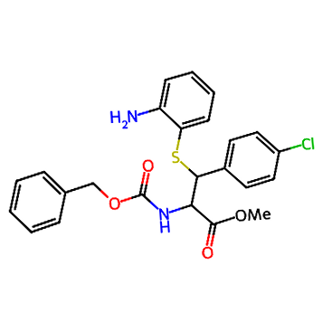 COC(=O)C(NC(=O)OCc1ccccc1)C(Sc1ccccc1N)c1ccc(Cl)cc1